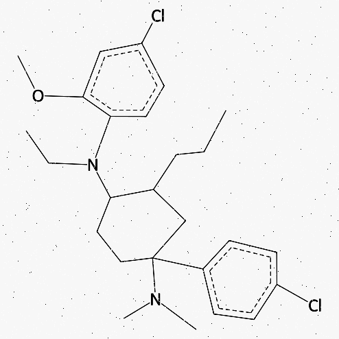 CCCC1CC(c2ccc(Cl)cc2)(N(C)C)CCC1N(CC)c1ccc(Cl)cc1OC